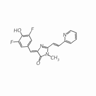 CN1C(=O)/C(=C/c2cc(F)c(O)c(F)c2)N=C1/C=C/c1ccccn1